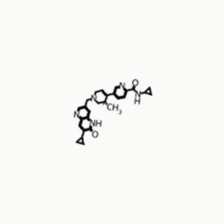 C[C@H]1CN(Cc2cnc3cc(C4CC4)c(=O)[nH]c3c2)CC=C1c1ccc(C(=O)NC2CC2)nc1